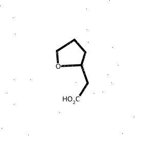 O=C(O)C[C]1CCCO1